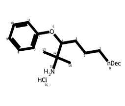 CCCCCCCCCCCCCC(Oc1ccccc1)C(C)(C)N.Cl